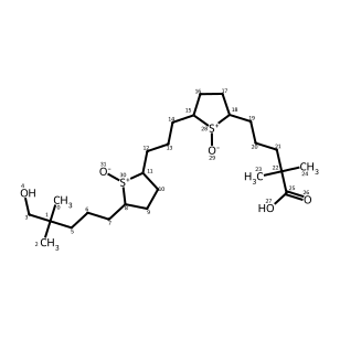 CC(C)(CO)CCCC1CCC(CCCC2CCC(CCCC(C)(C)C(=O)O)[S+]2[O-])[S+]1[O-]